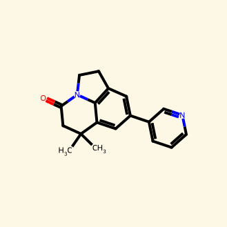 CC1(C)CC(=O)N2CCc3cc(-c4cccnc4)cc1c32